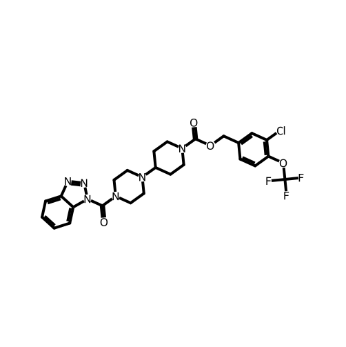 O=C(OCc1ccc(OC(F)(F)F)c(Cl)c1)N1CCC(N2CCN(C(=O)n3nnc4ccccc43)CC2)CC1